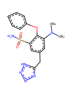 CCCCN(CCCC)c1cc(Cc2nnn[nH]2)cc(S(N)(=O)=O)c1Oc1ccccc1